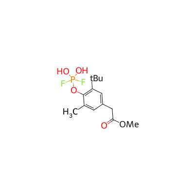 COC(=O)Cc1cc(C)c(OP(O)(O)(F)F)c(C(C)(C)C)c1